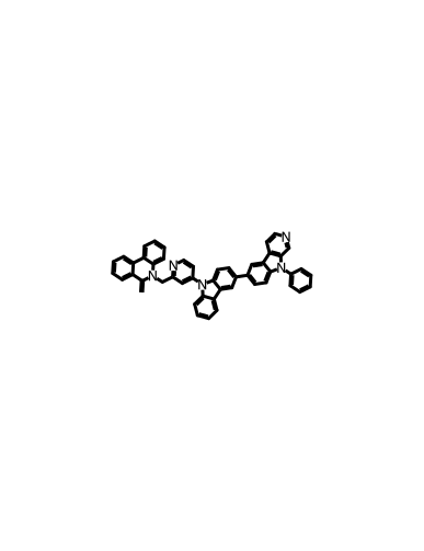 C=C1c2ccccc2-c2ccccc2N1Cc1cc(-n2c3ccccc3c3cc(-c4ccc5c(c4)c4ccncc4n5-c4ccccc4)ccc32)ccn1